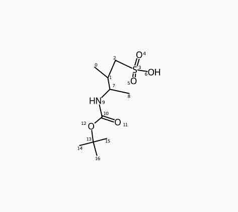 CC(CS(=O)(=O)O)C(C)NC(=O)OC(C)(C)C